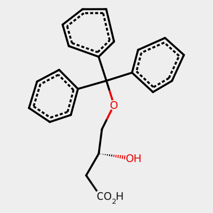 O=C(O)C[C@@H](O)COC(c1ccccc1)(c1ccccc1)c1ccccc1